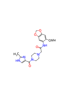 COc1cc2c(cc1NC(=O)CN1CCN(C(=O)c3c[nH]c(C)n3)CC1)OCO2